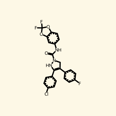 O=C(Nc1ccc2c(c1)OC(F)(F)O2)N1CC(c2ccc(F)cc2)=C(c2ccc(Cl)cc2)N1